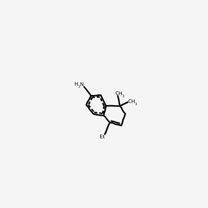 CCC1=CCC(C)(C)c2cc(N)ccc21